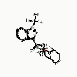 [2H]C1(NC(=O)c2nn(C([2H])([2H])[2H])c3ccccc23)CC2CCCC(C1)N2C([2H])([2H])[2H]